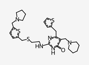 O=c1[nH]c(NCCSCc2ccc(CN3CCCC3)s2)nc(Cc2cccs2)c1CN1CCCCC1